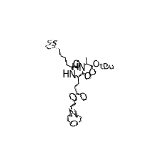 CC(NC(=O)C(CCC(=O)OCCN1CCOCC1)NC(=O)CCCC[C@@H]1CCSS1)C(=O)OC(C)(C)C